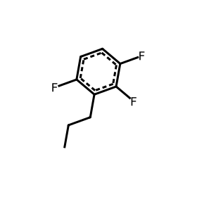 CCCc1c(F)ccc(F)c1F